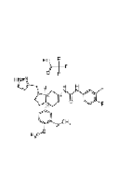 COc1ccc([C@@]23CC[C@@H](NC(=O)Nc4ccc(F)c(F)c4)C[C@@H]2N(Cc2cc[nH]n2)CC3)cc1OC.O=C(O)C(F)(F)F